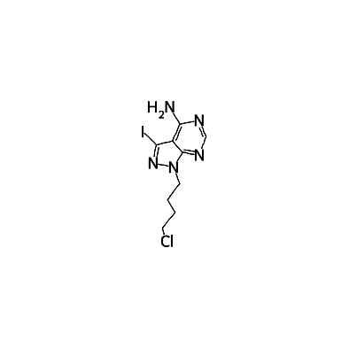 Nc1ncnc2c1c(I)nn2CCCCCl